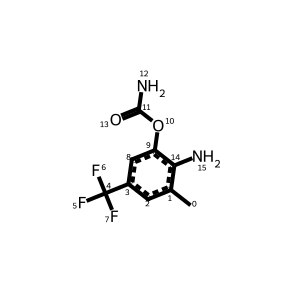 Cc1cc(C(F)(F)F)cc(OC(N)=O)c1N